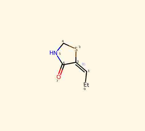 CC/C=C1/SCNC1=O